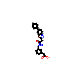 O=C(O)Cc1cccc(CNC(=O)Cc2nc3ccc(-c4ccccc4)cc3s2)c1